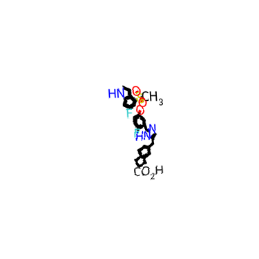 CS(=O)(=O)c1c(Oc2ccc(F)c(-c3ncc(Cc4ccc5c(c4)CC(C(=O)O)C5)[nH]3)c2)c(F)cc2[nH]ccc12